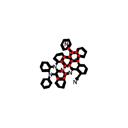 N#Cc1ccccc1-c1cccc(N2c3ccccc3N(c3ccccc3)c3ccccc32)c1-c1nc(-c2ccccc2)nc(-c2c(C#N)cccc2N2c3ccccc3N(c3ccccc3)c3ccccc32)n1